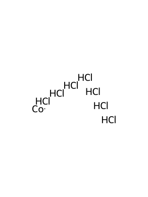 Cl.Cl.Cl.Cl.Cl.Cl.Cl.[Co]